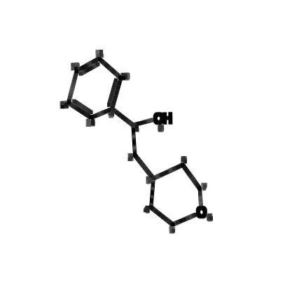 OC(CC1CCOCC1)c1ccccc1